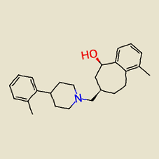 Cc1ccccc1C1CCN(C[C@@H]2CCc3c(C)cccc3[C@H](O)C2)CC1